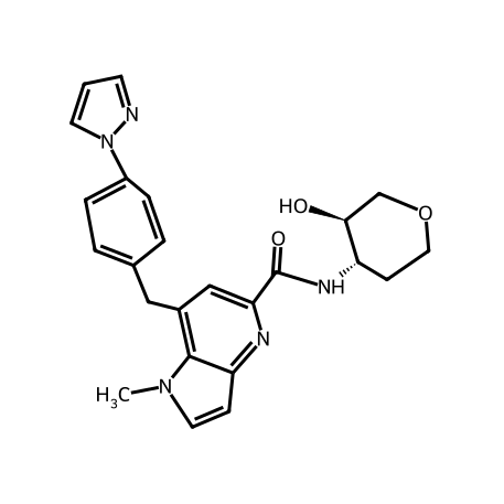 Cn1ccc2nc(C(=O)N[C@H]3CCOC[C@@H]3O)cc(Cc3ccc(-n4cccn4)cc3)c21